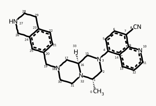 C[C@H]1CN(c2ccc(C#N)c3ncccc23)C[C@@H]2CN(Cc3ccc4c(c3)CNCC4)CCN21